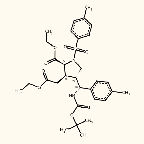 CCOC(=O)C[C@@H]1[C@@H]([C@@H](NC(=O)OC(C)(C)C)c2ccc(C)cc2)CN(S(=O)(=O)c2ccc(C)cc2)[C@@H]1C(=O)OCC